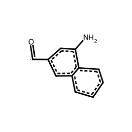 Nc1cc([C]=O)cc2ccccc12